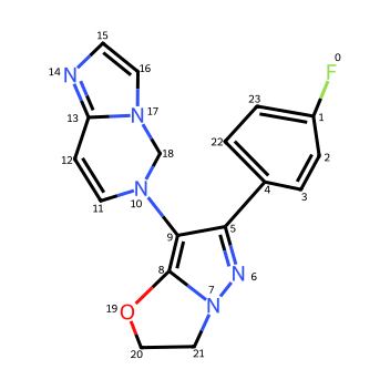 Fc1ccc(-c2nn3c(c2N2C=Cc4nccn4C2)OCC3)cc1